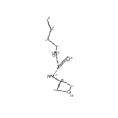 CCCCNC(=O)NC1COC1